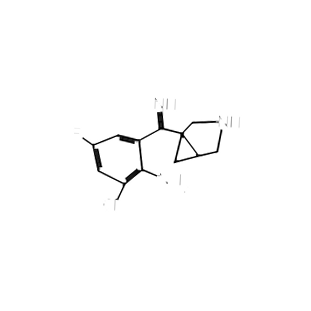 N=C(c1cc(F)cc(Cl)c1N)C12CNCC1C2